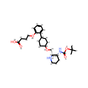 CC(C)(C)OC(=O)N[C@@H]1CCCN[C@@H]1COC1CCC(c2ccccc2OCCCC(=O)O)CC1